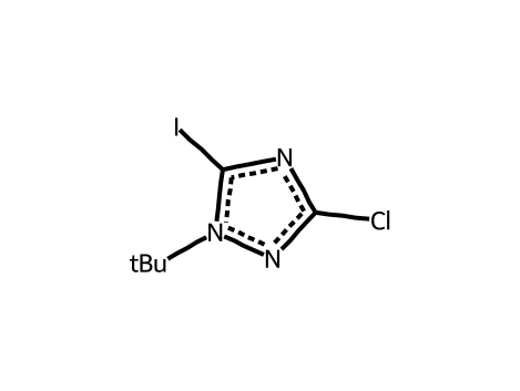 CC(C)(C)n1nc(Cl)nc1I